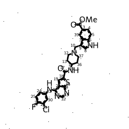 COC(=O)c1ccc2[nH]cc(CN3CCC(NC(=O)c4cc5c(Nc6ccc(F)c(Cl)c6)ncnc5s4)CC3)c2c1